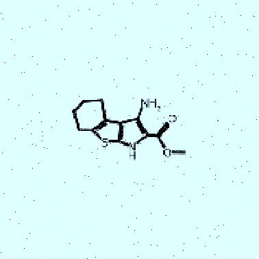 COC(=O)c1[nH]c2sc3c(c2c1N)CCCC3